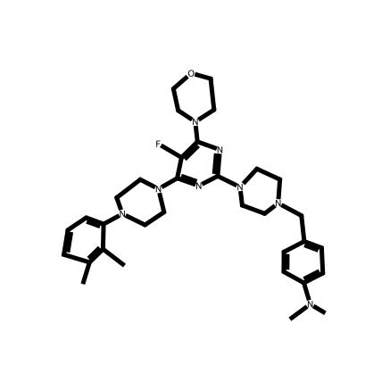 Cc1cccc(N2CCN(c3nc(N4CCN(Cc5ccc(N(C)C)cc5)CC4)nc(N4CCOCC4)c3F)CC2)c1C